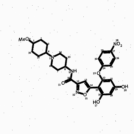 COC1CCC(N2CCC(NC(=O)c3cc(-c4c(O)cc(O)cc4Oc4ccc([N+](=O)[O-])cc4)on3)CC2)CC1